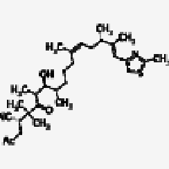 CC(=O)C[C@H](C#N)C(C)(C)C(=O)C(C)[C@@H](O)C(C)CCC/C(C)=C\C[C@H](C)/C(C)=C/c1csc(C)n1